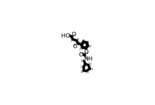 O=C(O)CCC(=O)c1cccc(OC(=O)NCC2CCCCC2)c1